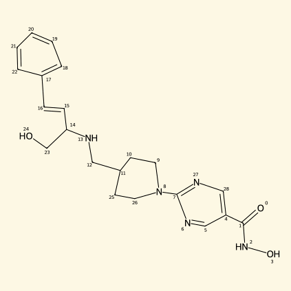 O=C(NO)c1cnc(N2CCC(CNC(/C=C/c3ccccc3)CO)CC2)nc1